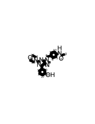 CC(=O)Nc1ccc(Cn2cnc3c(-c4cccc(O)c4)nc(N4CCOCC4)nc32)cc1